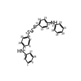 c1ccc(Nc2ccc(SSSc3ccc(Nc4ccccc4)cc3)cc2)cc1